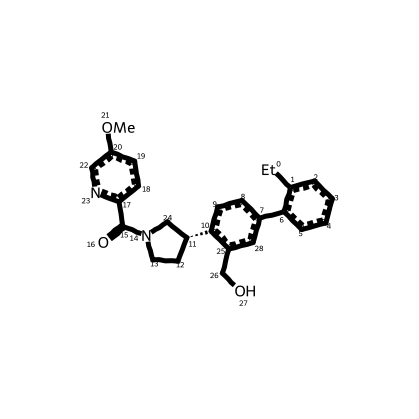 CCc1ccccc1-c1ccc([C@@H]2CCN(C(=O)c3ccc(OC)cn3)C2)c(CO)c1